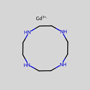 C1CNCCNCCNCCN1.[Gd+3]